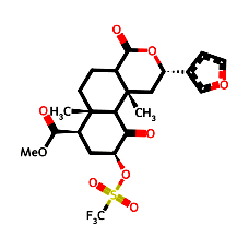 COC(=O)[C@@H]1C[C@H](OS(=O)(=O)C(F)(F)F)C(=O)C2[C@@]3(C)C[C@@H](c4ccoc4)OC(=O)C3CC[C@]21C